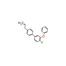 C=CCc1ccc(-c2ccc(F)c(Oc3ccccc3)c2)cc1